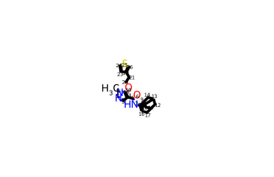 Cn1ncc(C(=O)NC2C3CC4CC(C3)CC2C4)c1OCCc1ccsc1